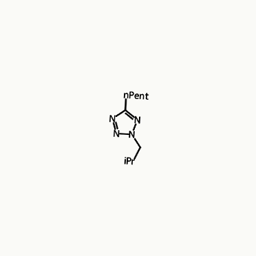 CCCCCc1nnn(CC(C)C)n1